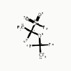 O=S(=O)(F)C(F)(OC(F)(F)C(F)(F)F)C(F)(F)F